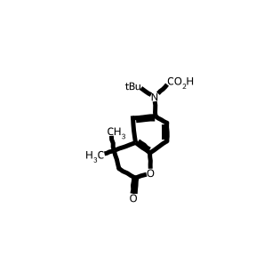 CC1(C)CC(=O)Oc2ccc(N(C(=O)O)C(C)(C)C)cc21